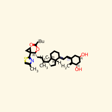 C=C1/C(=C\C=C2/CCC[C@]3(C)[C@@H]([C@H](C)CC[C@@H](OC(=O)C(C)CC)C4(c5nc(C)cs5)CC4)CC[C@@H]23)C[C@@H](O)C[C@@H]1O